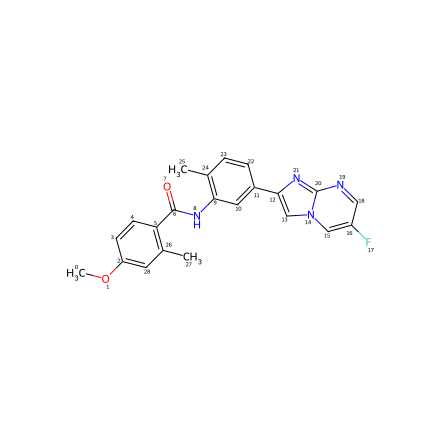 COc1ccc(C(=O)Nc2cc(-c3cn4cc(F)cnc4n3)ccc2C)c(C)c1